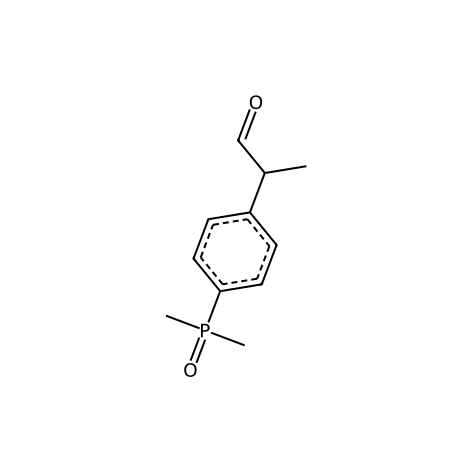 CC(C=O)c1ccc(P(C)(C)=O)cc1